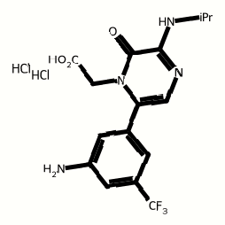 CC(C)Nc1ncc(-c2cc(N)cc(C(F)(F)F)c2)n(CC(=O)O)c1=O.Cl.Cl